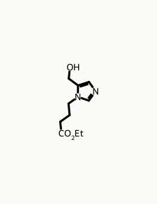 CCOC(=O)CCCn1cncc1CO